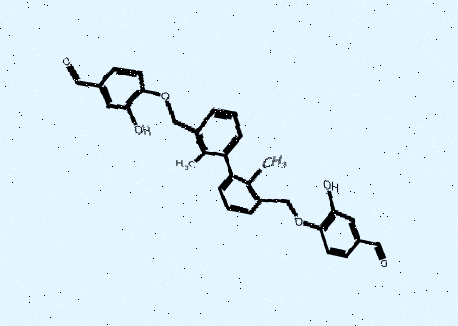 Cc1c(COc2ccc(C=O)cc2O)cccc1-c1cccc(COc2ccc(C=O)cc2O)c1C